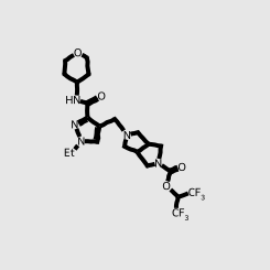 CCn1cc(CN2CC3CN(C(=O)OC(C(F)(F)F)C(F)(F)F)CC3C2)c(C(=O)NC2CCOCC2)n1